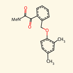 CNC(=O)C(=O)c1ccccc1COc1ccc(C)cc1C